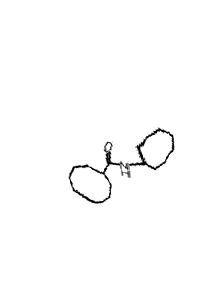 O=C(NC1CCCCCCC1)C1CCCCCCC1